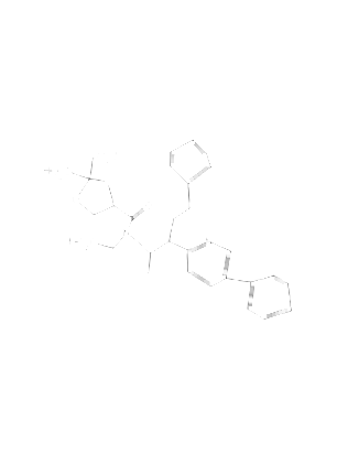 CC(C(CCc1ccccc1)c1ccc(-c2ccccc2)cn1)N(CC(=O)O)C(=O)C1COC(C(=O)O)(C(=O)O)O1